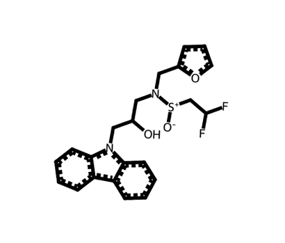 [O-][S+](CC(F)F)N(Cc1ccco1)CC(O)Cn1c2ccccc2c2ccccc21